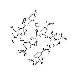 O=C(Oc1c(Cl)cc(Cl)cc1Cl)C(=O)Oc1c(Cl)cc(Cl)cc1Cl.O=C(Oc1c(Cl)cc([N+](=O)[O-])cc1Cl)C(=O)Oc1c(Cl)cc([N+](=O)[O-])cc1Cl.O=C(Oc1ccc([N+](=O)[O-])c(C(F)(F)F)c1)C(=O)Oc1ccc([N+](=O)[O-])c(C(F)(F)F)c1